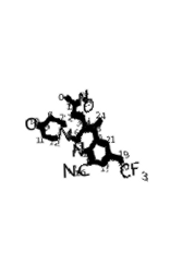 Cc1cc(-c2c(N3CCC(=O)CC3)nc3c(C#N)cc(CC(F)(F)F)cc3c2C)on1